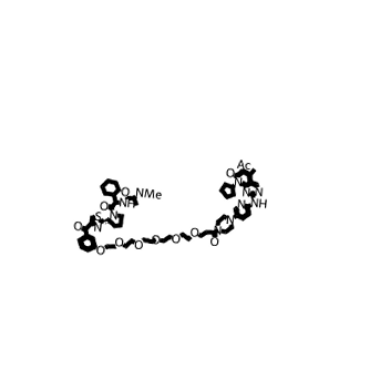 CNC(C)C(=O)NC(C(=O)N1CCC[C@H]1c1nc(C(=O)c2cccc(OCCOCCOCCOCCOCCOCCC(=O)N3CCN(c4ccc(Nc5ncc6c(C)c(C(C)=O)c(=O)n(C7CCCC7)c6n5)nc4)CC3)c2)cs1)C1CCCCC1